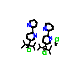 CC(C)[Si](Cl)(c1ccc(-c2ccccn2)nc1)C(C)C.CC(C)[Si](Cl)(c1ccc(-c2ccccn2)nc1)C(C)C.[Cl][Ir]